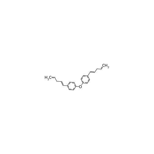 C=CCC=Cc1ccc(Oc2ccc(C=CCC=C)cc2)cc1